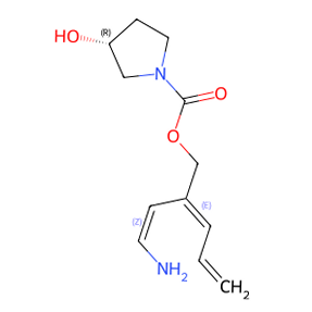 C=C/C=C(\C=C/N)COC(=O)N1CC[C@@H](O)C1